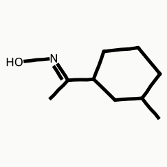 C/C(=N\O)C1CCCC(C)C1